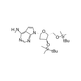 CC(C)(C)[Si](C)(C)OC[C@H]1O[C@@H](n2ccc3c(N)ncnc32)C[C@@H]1O[Si](C)(C)C(C)(C)C